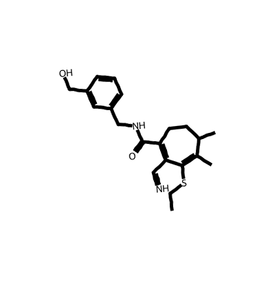 CCSC1=C(C)C(C)CCC(C(=O)NCc2cccc(CO)c2)=C1C=N